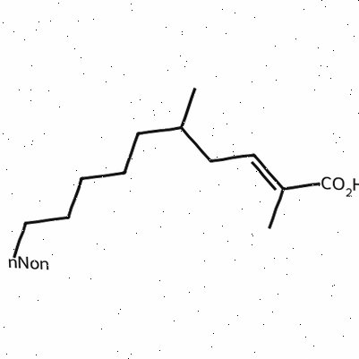 CCCCCCCCCCCCCCC(C)CC=C(C)C(=O)O